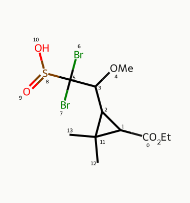 CCOC(=O)C1C(C(OC)C(Br)(Br)S(=O)O)C1(C)C